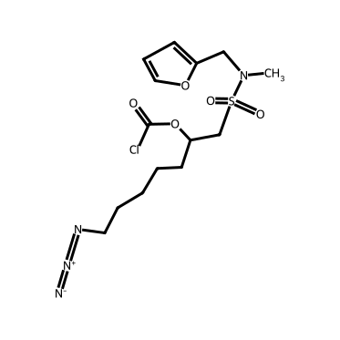 CN(Cc1ccco1)S(=O)(=O)CC(CCCCCN=[N+]=[N-])OC(=O)Cl